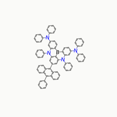 c1ccc(-c2c3ccccc3c(-c3cc4c5c(c3)N(c3ccccc3)c3cc(N(c6ccccc6)c6ccccc6)ccc3B5c3ccc(N(c5ccccc5)c5ccccc5)cc3N4c3ccccc3)c3ccccc23)cc1